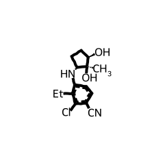 CCc1c(N[C@@H]2CC[C@@H](O)[C@@]2(C)O)ccc(C#N)c1Cl